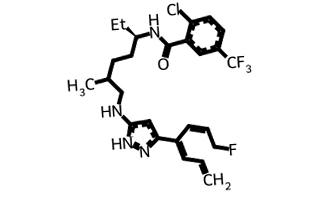 C=C/C=C(\C=C/CF)c1cc(NCC(C)CC[C@@H](CC)NC(=O)c2cc(C(F)(F)F)ccc2Cl)[nH]n1